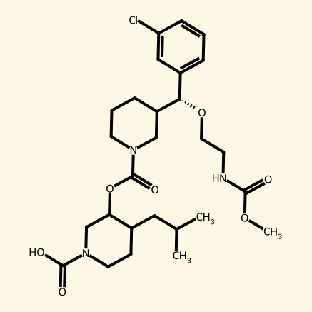 COC(=O)NCCO[C@@H](c1cccc(Cl)c1)C1CCCN(C(=O)OC2CN(C(=O)O)CCC2CC(C)C)C1